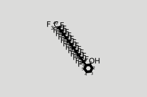 Oc1ccccc1C(F)(F)C(F)(F)C(F)(F)C(F)(F)C(F)(F)C(F)(F)C(F)(F)C(F)(F)C(F)(F)C(F)(F)C(F)(F)C(F)(F)F